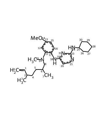 C=CC(C)CCC(C)CN(C)c1cc(OC)ccc1Nc1ccnc(NC2CCCCC2)n1